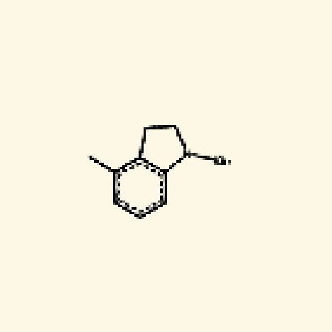 CCC(C)N1CCc2c(C)cccc21